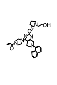 C=CC(=O)N1CCN(c2nc(OC[C@@H]3CCCN3CCO)nc3c2CCN(c2cccc4ccccc24)C3)CC1